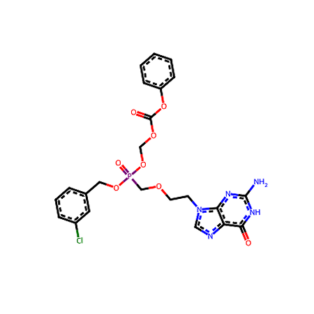 Nc1nc2c(ncn2CCOCP(=O)(OCOC(=O)Oc2ccccc2)OCc2cccc(Cl)c2)c(=O)[nH]1